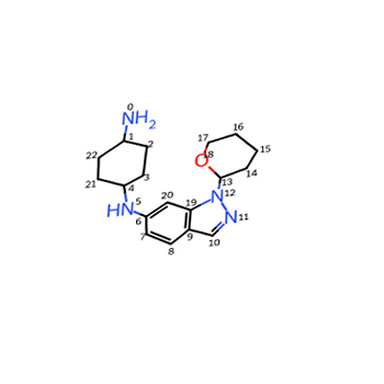 NC1CCC(Nc2ccc3cnn(C4CCCCO4)c3c2)CC1